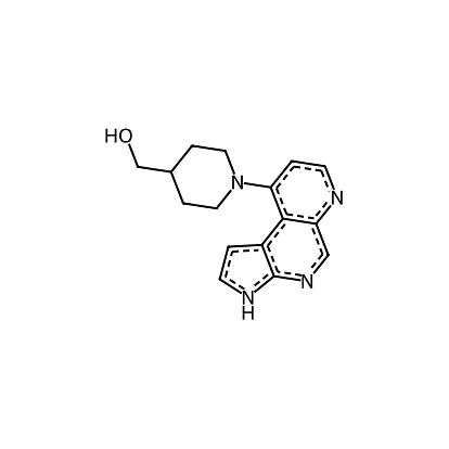 OCC1CCN(c2ccnc3cnc4[nH]ccc4c23)CC1